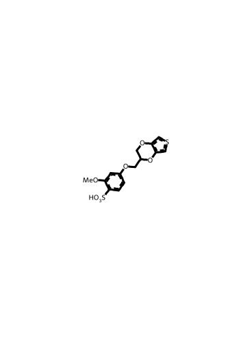 COc1cc(OCC2COc3cscc3O2)ccc1S(=O)(=O)O